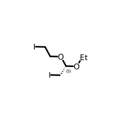 CCO[C@H](CI)OCCI